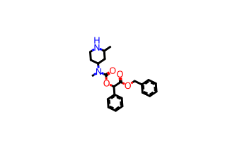 CC1CC(N(C)C(=O)OC(C(=O)OCc2ccccc2)c2ccccc2)CCN1